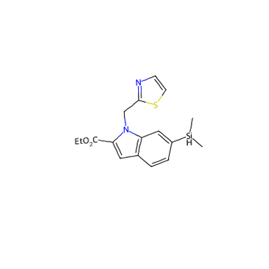 CCOC(=O)c1cc2ccc([SiH](C)C)cc2n1Cc1nccs1